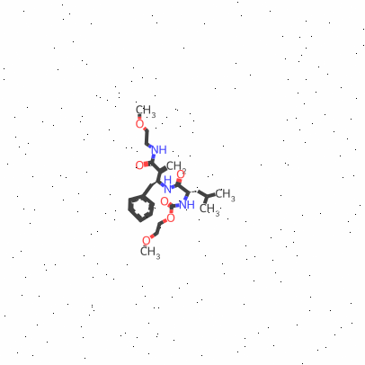 C=C(C(=O)NCCOC)[C@H](Cc1ccccc1)NC(=O)[C@H](CC(C)C)NC(=O)OCCOC